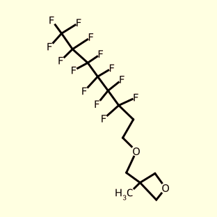 CC1(COCCC(F)(F)C(F)(F)C(F)(F)C(F)(F)C(F)(F)C(F)(F)F)COC1